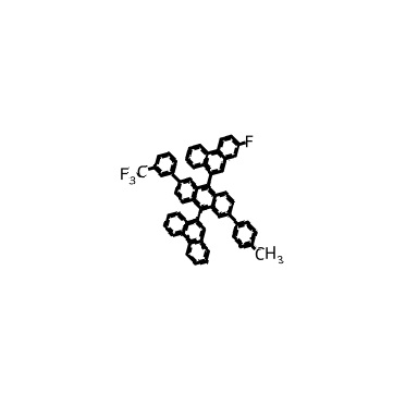 Cc1ccc(-c2ccc3c(-c4cc5cc(F)ccc5c5ccccc45)c4cc(-c5cccc(C(F)(F)F)c5)ccc4c(-c4cc5ccccc5c5ccccc45)c3c2)cc1